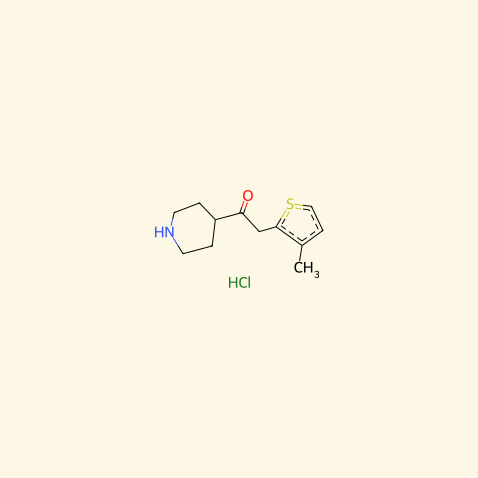 Cc1ccsc1CC(=O)C1CCNCC1.Cl